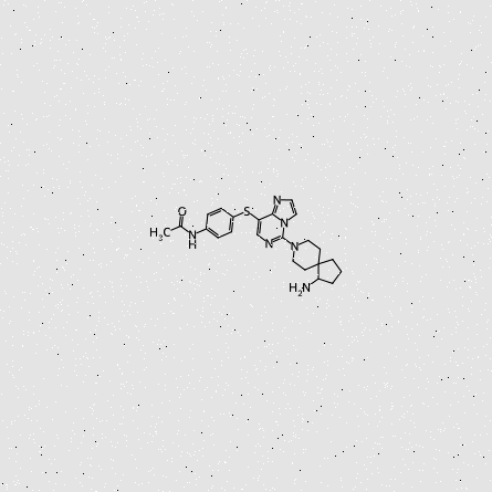 CC(=O)Nc1ccc(Sc2cnc(N3CCC4(CCCC4N)CC3)n3ccnc23)cc1